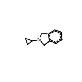 c1ccc2c(c1)CN(C1CC1)C2